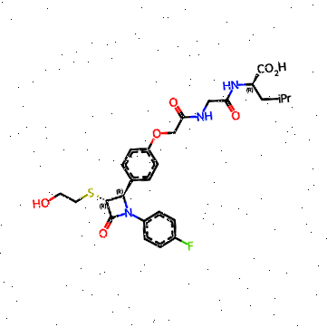 CC(C)C[C@@H](NC(=O)CNC(=O)COc1ccc([C@@H]2[C@@H](SCCO)C(=O)N2c2ccc(F)cc2)cc1)C(=O)O